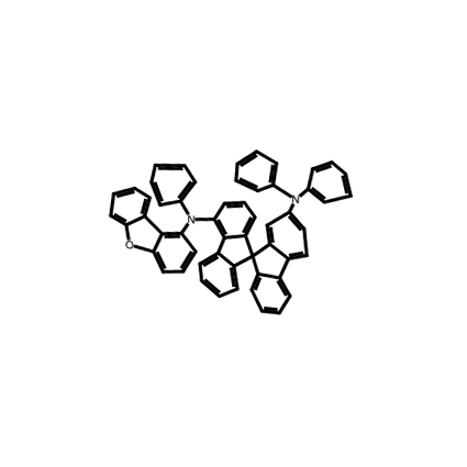 c1ccc(N(c2ccccc2)c2ccc3c(c2)C2(c4ccccc4-3)c3ccccc3-c3c(N(c4ccccc4)c4cccc5oc6ccccc6c45)cccc32)cc1